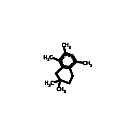 Cc1cc(C)c2c(c1C)CC(C)(C)CC2